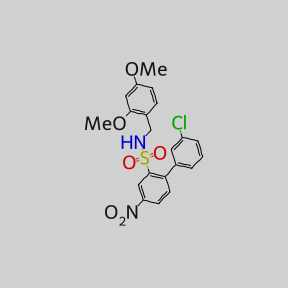 COc1ccc(CNS(=O)(=O)c2cc([N+](=O)[O-])ccc2-c2cccc(Cl)c2)c(OC)c1